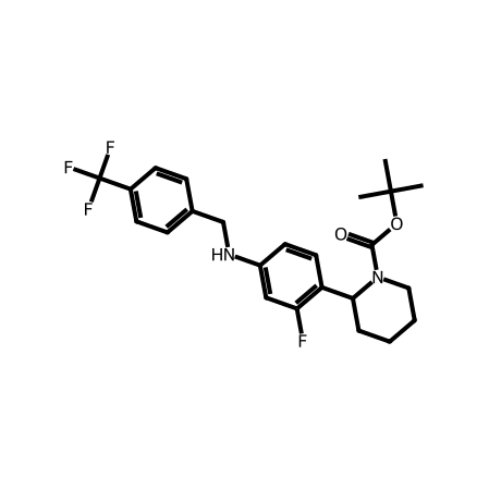 CC(C)(C)OC(=O)N1CCCCC1c1ccc(NCc2ccc(C(F)(F)F)cc2)cc1F